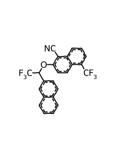 N#Cc1c(OC(c2ccc3ccccc3c2)C(F)(F)F)ccc2c(C(F)(F)F)cccc12